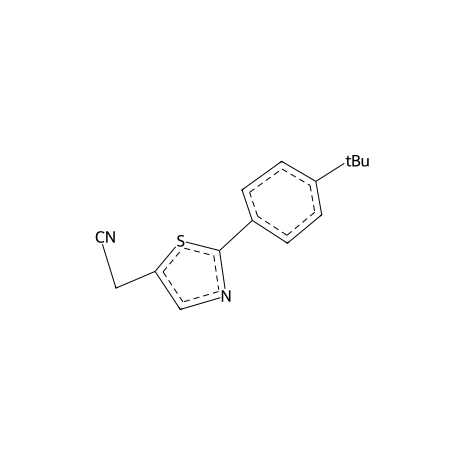 CC(C)(C)c1ccc(-c2ncc(CC#N)s2)cc1